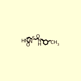 CCC1CCC/C(=C\NC(=O)CSc2cc[nH]c(=O)n2)C1